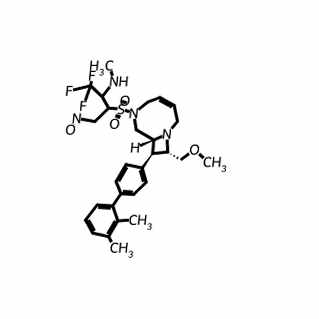 CNC(C(CN=O)S(=O)(=O)N1C/C=C\CN2[C@H](COC)[C@@H](c3ccc(-c4cccc(C)c4C)cc3)[C@@H]2C1)C(F)(F)F